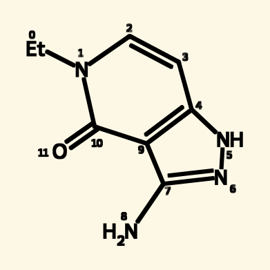 CCn1ccc2[nH]nc(N)c2c1=O